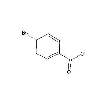 O=C(Cl)C1=CC[C@H](Br)C=C1